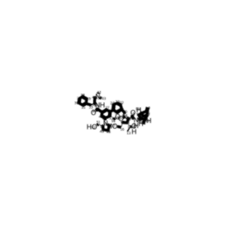 C=C1C2C[C@@H]1C[C@H](NC(=O)[C@@H]1[C@H]([C@H](C)O)[C@H](CO)ON1Cc1cccc(-c3cc(C(=O)N[C@@H](Cc4ccccc4)CN(C)C)cc(N4CCC[C@@H]4CO)c3)c1OC)[C@H]2C